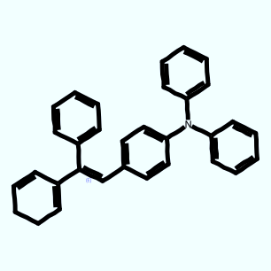 C1=CC(/C(=C/c2ccc(N(c3ccccc3)c3ccccc3)cc2)c2ccccc2)=CCC1